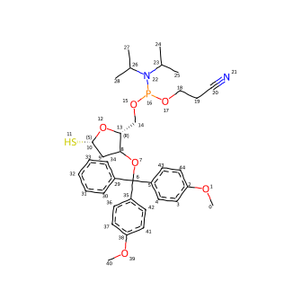 COc1ccc(C(OC2C[C@H](S)O[C@@H]2COP(OCCC#N)N(C(C)C)C(C)C)(c2ccccc2)c2ccc(OC)cc2)cc1